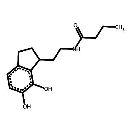 CCCC(=O)NCCC1CCc2ccc(O)c(O)c21